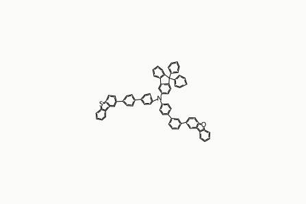 c1ccc(C2(c3ccccc3)c3ccccc3-c3cc(N(c4ccc(-c5ccc(-c6ccc7sc8ccccc8c7c6)cc5)cc4)c4ccc(-c5cccc(-c6ccc7oc8ccccc8c7c6)c5)cc4)ccc32)cc1